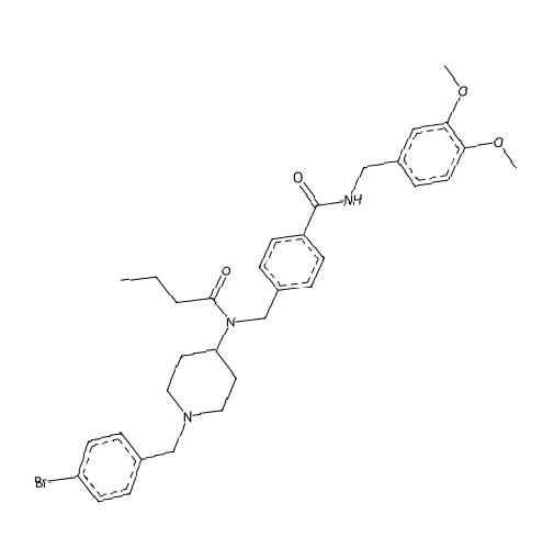 CCCC(=O)N(Cc1ccc(C(=O)NCc2ccc(OC)c(OC)c2)cc1)C1CCN(Cc2ccc(Br)cc2)CC1